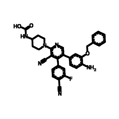 N#Cc1ccc(-c2c(-c3ccc(N)c(OCc4ccccc4)c3)cnc(N3CCC(NC(=O)O)CC3)c2C#N)cc1F